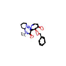 CCN1C(=O)c2c(OCc3ccccc3)c(=O)ccn2N2CCCCC12